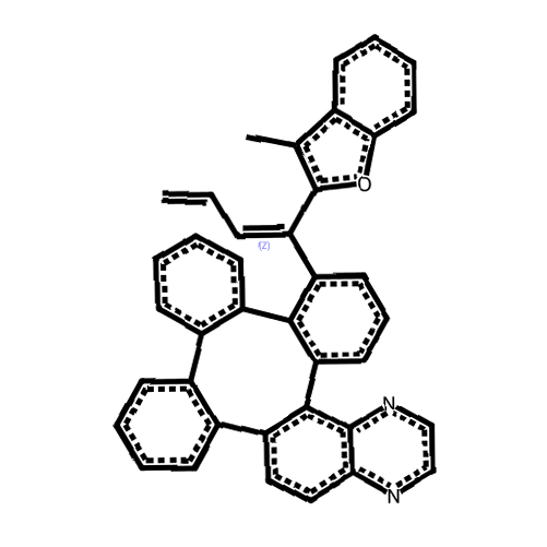 C=C/C=C(/c1cccc2c1-c1ccccc1-c1ccccc1-c1ccc3nccnc3c1-2)c1oc2ccccc2c1C